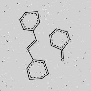 C(=Cc1ccccc1)c1ccccc1.O=c1cccco1